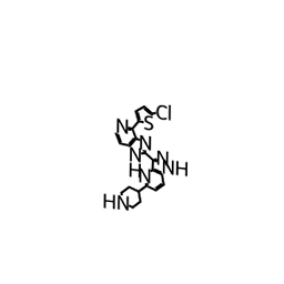 Clc1ccc(-c2nccc3[nH]c(-c4n[nH]c5ccc(C6CCNCC6)nc45)nc23)s1